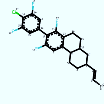 CCCC=CC1CCC2c3cc(F)c(-c4cc(F)c(Cl)c(F)c4)c(F)c3CCC2C1